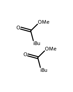 CCC(C)C(=O)OC.CCC(C)C(=O)OC